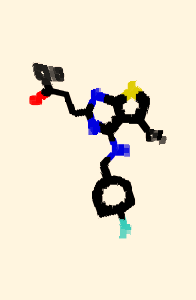 Cc1csc2nc(CCC(=O)C=O)nc(NCc3ccc(F)cc3)c12